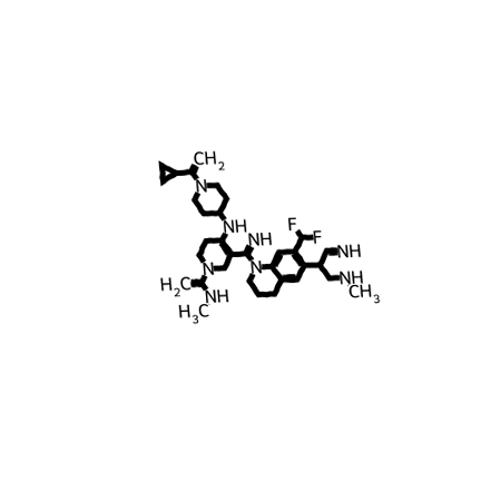 C=C(NC)N1CCC(NC2CCN(C(=C)C3CC3)CC2)=C(C(=N)N2CCCc3cc(C(C=N)CNC)c(C(F)F)cc32)C1